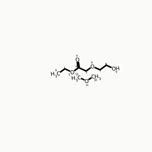 CCOC(=O)COCCO.COC